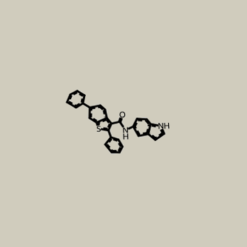 O=C(Nc1ccc2[nH]ccc2c1)c1c(-c2ccccc2)sc2cc(-c3ccccc3)ccc12